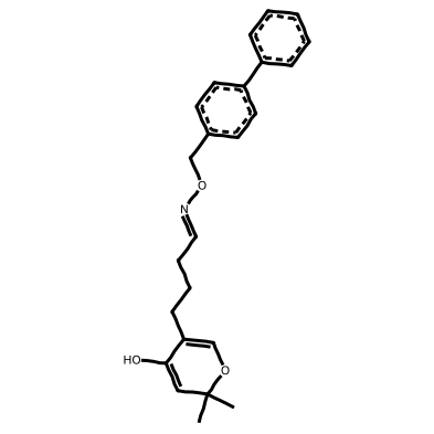 CC1(C)C=C(O)C(CCCC=NOCc2ccc(-c3ccccc3)cc2)=CO1